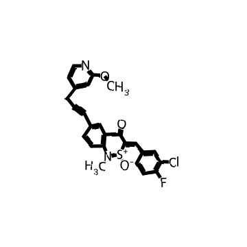 COc1cc(CC#Cc2ccc3c(c2)C(=O)/C(=C/c2ccc(F)c(Cl)c2)[S+]([O-])N3C)ccn1